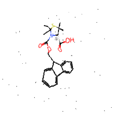 CC1(C)SC(C)(C)N(C(=O)OCC2c3ccccc3-c3ccccc32)[C@H]1C(=O)O